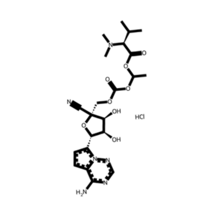 CC(OC(=O)OC[C@@]1(C#N)O[C@@H](c2ccc3c(N)ncnn23)[C@H](O)[C@@H]1O)OC(=O)[C@H](C(C)C)N(C)C.Cl